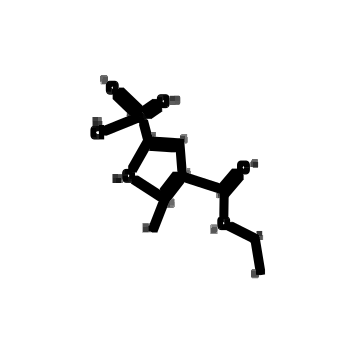 CCOC(=O)c1cc(S(=O)(=O)Cl)oc1C